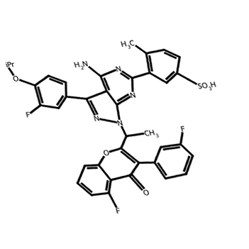 Cc1ccc(S(=O)(=O)O)cc1-c1nc(N)c2c(-c3ccc(OC(C)C)c(F)c3)nn(C(C)c3oc4cccc(F)c4c(=O)c3-c3cccc(F)c3)c2n1